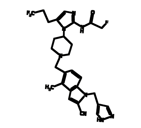 Cc1c(CN2CCC(n3c(CCC(F)(F)F)cnc3NC(=O)CF)CC2)ccc2c1cc(C#N)n2Cc1cn[nH]c1